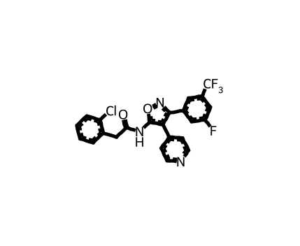 O=C(Cc1ccccc1Cl)Nc1onc(-c2cc(F)cc(C(F)(F)F)c2)c1-c1ccncc1